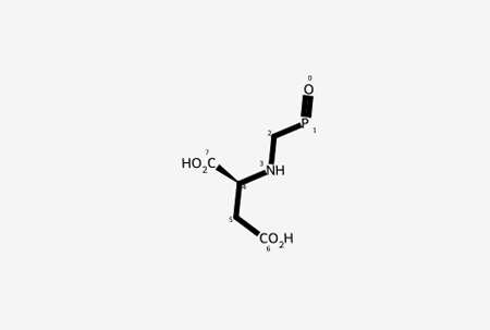 O=PCN[C@@H](CC(=O)O)C(=O)O